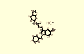 Cl.NC1CCC(NC(=O)CCc2cn(CC3CCCCC3)c3ccc(Br)cc23)CC1